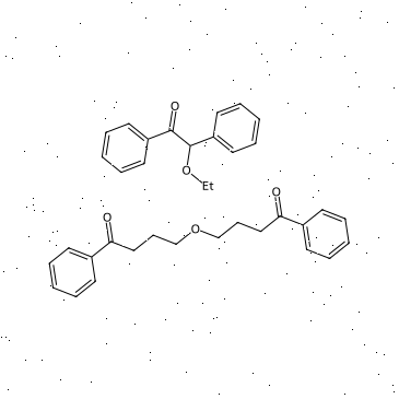 CCOC(C(=O)c1ccccc1)c1ccccc1.O=C(CCCOCCCC(=O)c1ccccc1)c1ccccc1